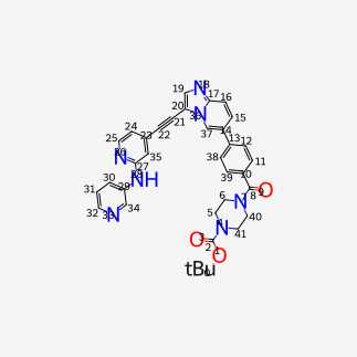 CC(C)(C)OC(=O)N1CCN(C(=O)c2ccc(-c3ccc4ncc(C#Cc5ccnc(Nc6cccnc6)c5)n4c3)cc2)CC1